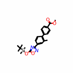 COC(=O)c1ccc(-c2ccc(-c3noc(O[Si](C)(C)C(C)(C)C)n3)cc2C)cc1